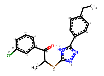 CCc1ccc(-c2nnc(SC(C)C(=O)c3cccc(Cl)c3)[nH]2)cc1